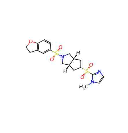 Cn1ccnc1S(=O)(=O)[C@@H]1C[C@@H]2CN(S(=O)(=O)c3ccc4c(c3)CCO4)C[C@@H]2C1